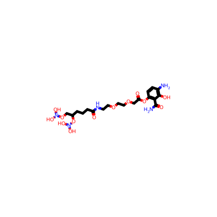 NC(=O)c1c(OC(=O)COCCOCCNC(=O)CCCC(CON(O)O)ON(O)O)ccc(N)c1O